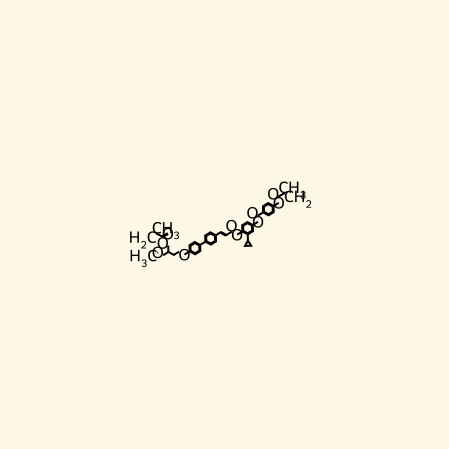 C=C(C)C(=O)OCC(CCOc1ccc(-c2ccc(/C=C/C(=O)Oc3ccc(OC(=O)c4ccc(OC(=O)C(=C)C)cc4)cc3C3CC3)cc2)cc1)COC